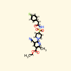 CCOC(=O)c1cc(C#N)c(N2CCC(S(=O)(=O)NC(=O)Cc3ccc(F)cc3)CC2)nc1C